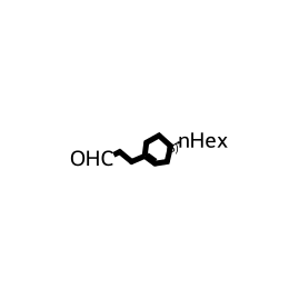 CCCCCC[C@@H]1CC=C(CCC=O)CC1